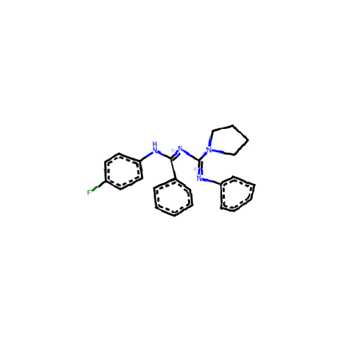 Fc1ccc(N/C(=N/C(=N/c2ccccc2)N2CCCC2)c2ccccc2)cc1